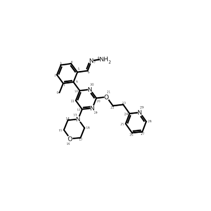 Cc1cccc(C=NN)c1-c1cc(N2CCOCC2)nc(OCCc2ccccn2)n1